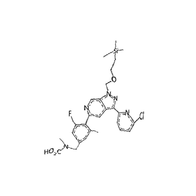 Cc1cc(CN(C)C(=O)O)cc(F)c1-c1cc2c(-c3cccc(Cl)n3)nn(COCC[Si](C)(C)C)c2cn1